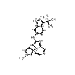 Cn1cc([N+]23C=CN=CC2=NC(Nc2ccc4c(C(C)(C)O)n[nH]c4c2)=N3)cn1